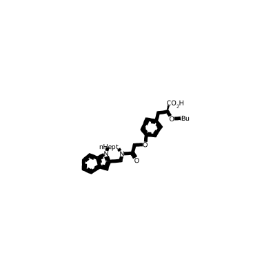 CCCCCCCN(Cc1cc2ccccc2n1C)C(=O)COc1ccc(C[C@H](OC(C)CC)C(=O)O)cc1